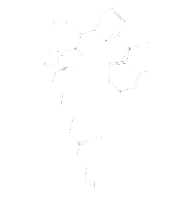 CCOC(=O)CCCCCS(=O)(=O)NC(=O)C(C)c1cccc(C(=O)c2ccccc2)c1